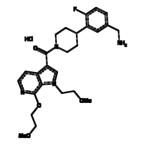 COCCOc1nccc2c(C(=O)N3CCC(c4cc(CN)ccc4F)CC3)cn(CCOC)c12.Cl